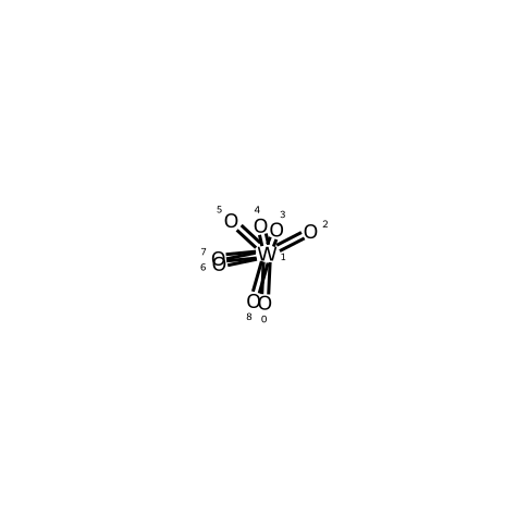 [O]=[W](=[O])(=[O])(=[O])(=[O])(=[O])(=[O])=[O]